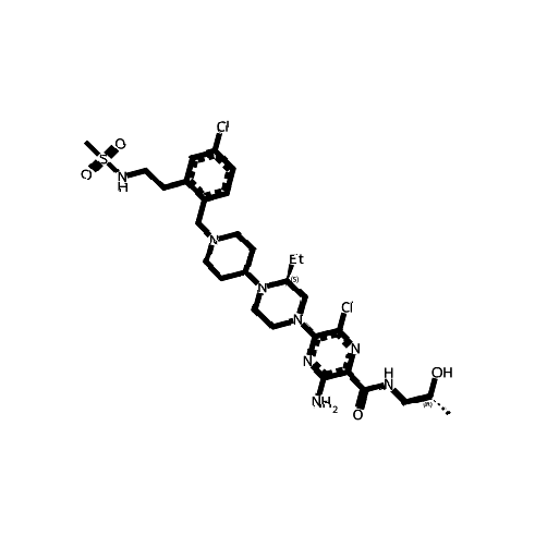 CC[C@H]1CN(c2nc(N)c(C(=O)NC[C@@H](C)O)nc2Cl)CCN1C1CCN(Cc2ccc(Cl)cc2CCNS(C)(=O)=O)CC1